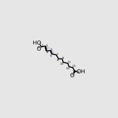 O=C(O)/C=C/C=C/CCCCCCCC(=O)O